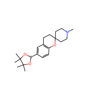 CN1CCC2(CCc3cc(B4OC(C)(C)C(C)(C)O4)ccc3O2)CC1